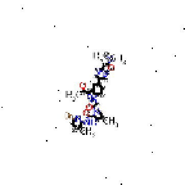 CC(=O)c1nn(CC(=O)N2C[C@@H](C)C[C@H]2C(=O)Nc2nc(Br)ccc2C)c2ccc(-c3cnc(CC(=O)N(C)C)nc3)cc12